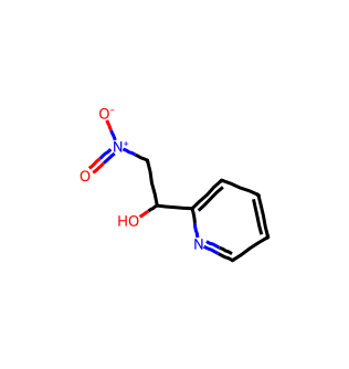 O=[N+]([O-])CC(O)c1ccccn1